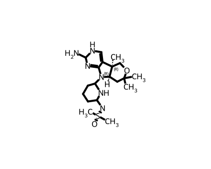 CC1(C)C[C@H]2N(C3CCCC(N=S(C)(C)=O)N3)C3=NC(N)NC=C3[C@@]2(C)CO1